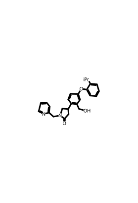 CC(C)c1ccccc1Oc1ccc(C2CC(=O)N(Cc3ccccn3)C2)c(CO)c1